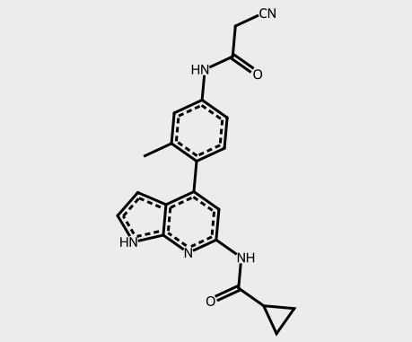 Cc1cc(NC(=O)CC#N)ccc1-c1cc(NC(=O)C2CC2)nc2[nH]ccc12